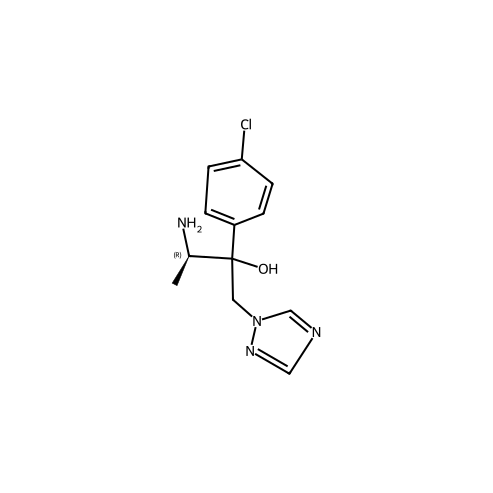 C[C@@H](N)C(O)(Cn1cncn1)c1ccc(Cl)cc1